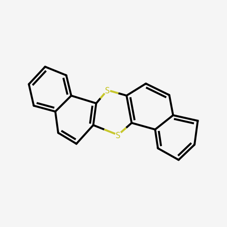 c1ccc2c3c(ccc2c1)Sc1c(ccc2ccccc12)S3